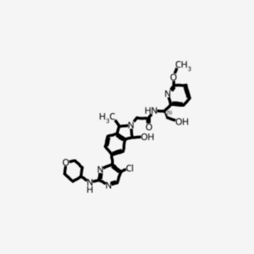 COc1cccc([C@@H](CO)NC(=O)CN2C(C)c3ccc(-c4nc(NC5CCOCC5)ncc4Cl)cc3C2O)n1